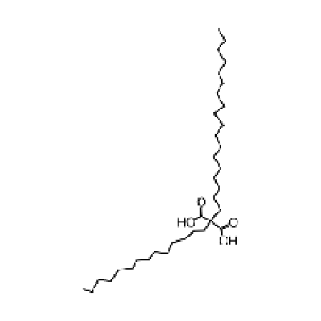 CCCCCCCCCCCCCCCCCCC(CCCCCCCCCCCCCC)(C(=O)O)C(=O)O